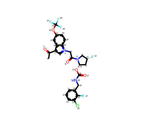 CC(=O)c1cn(CC(=O)N2C[C@H](F)C[C@@H]2OC(=O)NCc2cccc(Cl)c2F)c2ccc(OC(F)(F)F)cc12